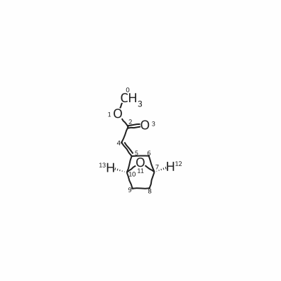 COC(=O)/C=C1\C[C@H]2CC[C@@H]1O2